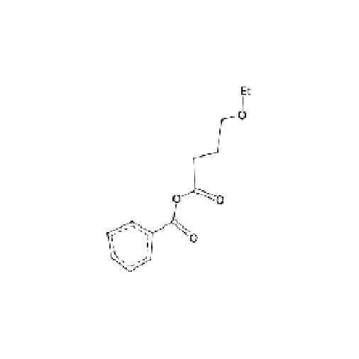 CCOCCCC(=O)OC(=O)c1ccccc1